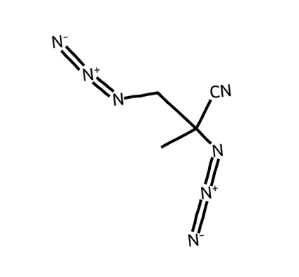 CC(C#N)(CN=[N+]=[N-])N=[N+]=[N-]